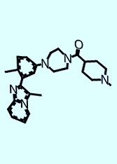 Cc1ccc(N2CCN(C(=O)C3CCN(C)CC3)CC2)cc1-c1nc2ccccn2c1C